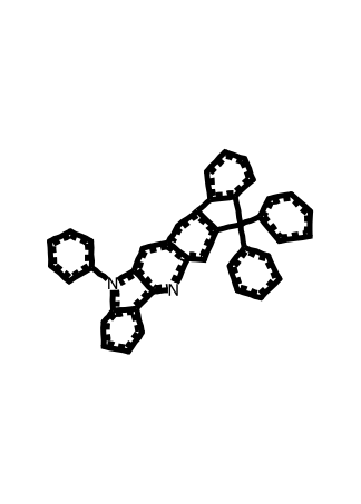 c1ccc(-n2c3ccccc3c3nc4cc5c(cc4cc32)-c2ccccc2C5(c2ccccc2)c2ccccc2)cc1